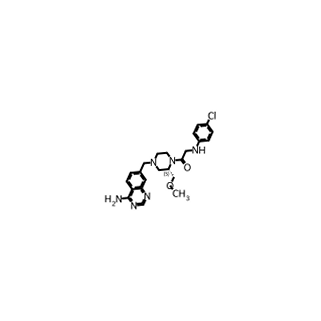 COC[C@@H]1CN(Cc2ccc3c(N)ncnc3c2)CCN1C(=O)CNc1ccc(Cl)cc1